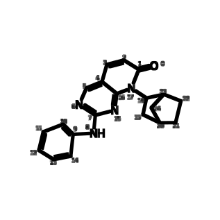 O=c1ccc2cnc(Nc3ccccc3)nc2n1C1CC2CCC1C2